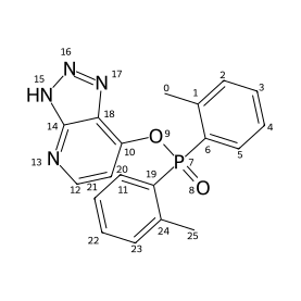 Cc1ccccc1P(=O)(Oc1ccnc2[nH]nnc12)c1ccccc1C